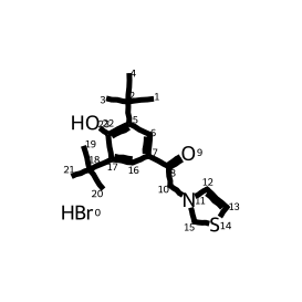 Br.CC(C)(C)c1cc(C(=O)CN2C=CSC2)cc(C(C)(C)C)c1O